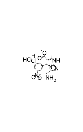 COC(=O)C1=C(C)Nc2ncc(CN)n2C1c1cccc([N+](=O)[O-])c1.Cl.Cl